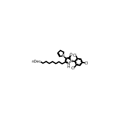 CCCCCCCCCCCCCCCCCc1[nH]n(-c2c(Cl)cc(Cl)cc2Cl)c(=O)c1N1C=CCC1